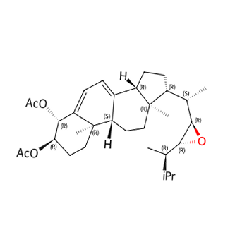 CC(=O)O[C@@H]1C2=CC=C3[C@@H]4CC[C@H]([C@H](C)[C@H]5O[C@@H]5[C@H](C)C(C)C)[C@@]4(C)CC[C@@H]3[C@@]2(C)CC[C@H]1OC(C)=O